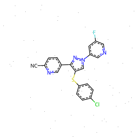 N#Cc1ccc(-c2nn(-c3cncc(F)c3)cc2Sc2ccc(Cl)cc2)cn1